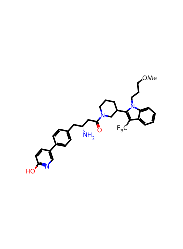 COCCCn1c(C2CCCN(C(=O)C[C@H](N)Cc3ccc(-c4ccc(O)nc4)cc3)C2)c(C(F)(F)F)c2ccccc21